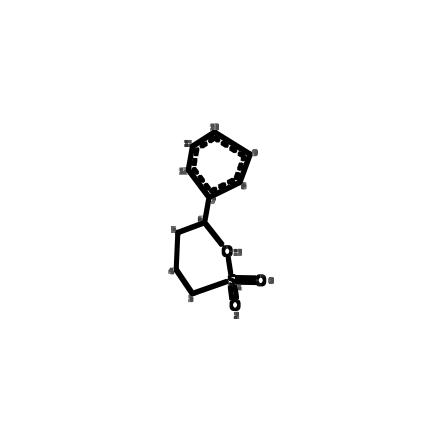 O=S1(=O)CCCC(c2ccccc2)O1